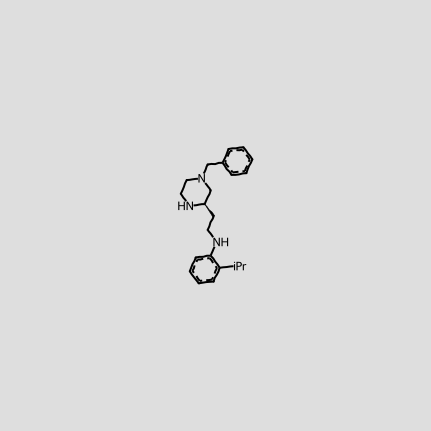 CC(C)c1ccccc1NCC[C@@H]1CN(Cc2ccccc2)CCN1